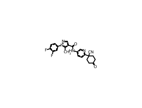 Cc1c(C(=O)Nc2ccc(C3(C#N)CCC(=O)CC3)nc2)cnn1-c1ccc(F)c(F)c1